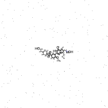 CCCc1c(/C=N/O)c(C)c2c(=O)[nH]c(-c3cc(S(=O)(=O)N4CCC(CCO)CC4)ccc3OCC)nn12